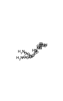 CC(COCCOCCOCCN)(COCCOCCOCCN)COCCOCC(=O)NCCNc1cccc2c1C(=O)N(C1CCC(=O)NC1=O)C2=O